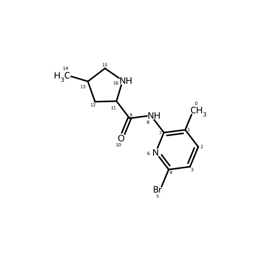 Cc1ccc(Br)nc1NC(=O)C1CC(C)CN1